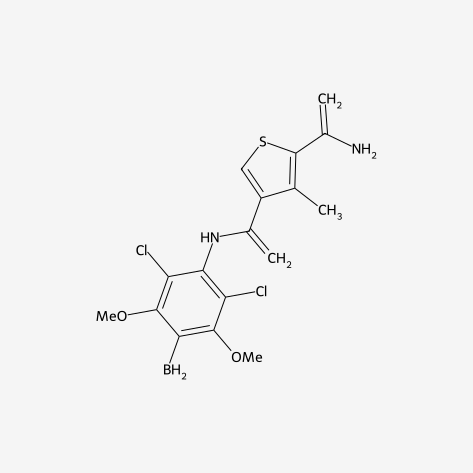 Bc1c(OC)c(Cl)c(NC(=C)c2csc(C(=C)N)c2C)c(Cl)c1OC